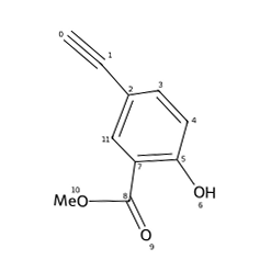 C#Cc1ccc(O)c(C(=O)OC)c1